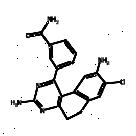 NC(=O)c1cccc(-c2nc(N)nc3c2-c2cc(N)c(Cl)cc2CC3)c1